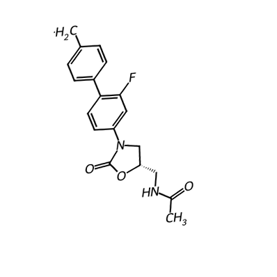 [CH2]c1ccc(-c2ccc(N3C[C@H](CNC(C)=O)OC3=O)cc2F)cc1